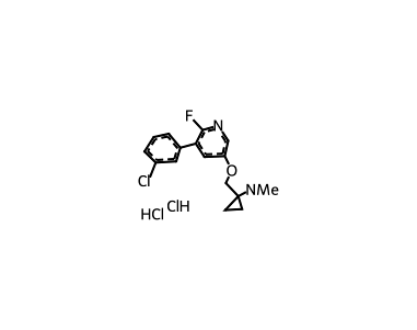 CNC1(COc2cnc(F)c(-c3cccc(Cl)c3)c2)CC1.Cl.Cl